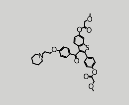 COCC(=O)Oc1ccc(-c2sc3cc(OC(=O)COC)ccc3c2C(=O)c2ccc(OCCN3CCCCC3)cc2)cc1